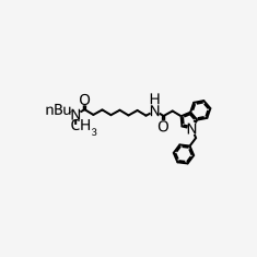 CCCCN(C)C(=O)CCCCCCCNC(=O)Cc1cn(Cc2ccccc2)c2ccccc12